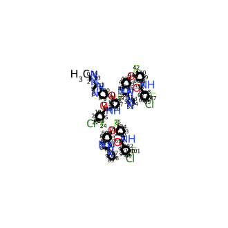 Cc1cn(-c2cnc3ccc(Oc4cc(NC(=O)c5ccc(Cl)c(F)c5)ccc4F)cc3n2)cn1.O=C(Nc1ccc(F)c(Oc2ccc3ncc(-n4ccnc4)nc3c2)c1)c1ccc(Cl)c(F)c1.O=C(Nc1ccc(F)c(Oc2ccc3ncc(N4CCCC4)nc3c2)c1)c1ccc(Cl)c(F)c1